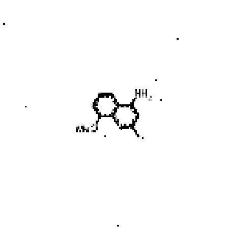 COc1cccc2c(N)cc(C)nc12